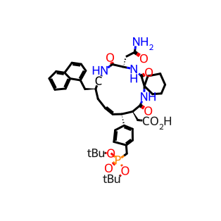 CC(C)(C)OP(=O)(Cc1ccc([C@@H]2C=CC[C@@H](Cc3cccc4ccccc34)CNC(=O)[C@H](CC(N)=O)NC(=O)C3(CCCCC3)NC(=O)[C@H]2CC(=O)O)cc1)OC(C)(C)C